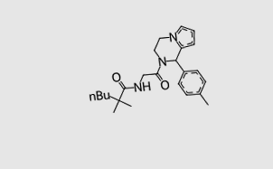 CCCCC(C)(C)C(=O)NCC(=O)N1CCn2cccc2C1c1ccc(C)cc1